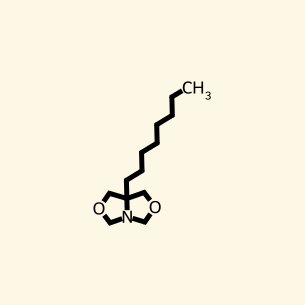 CCCCCCCCC12COCN1COC2